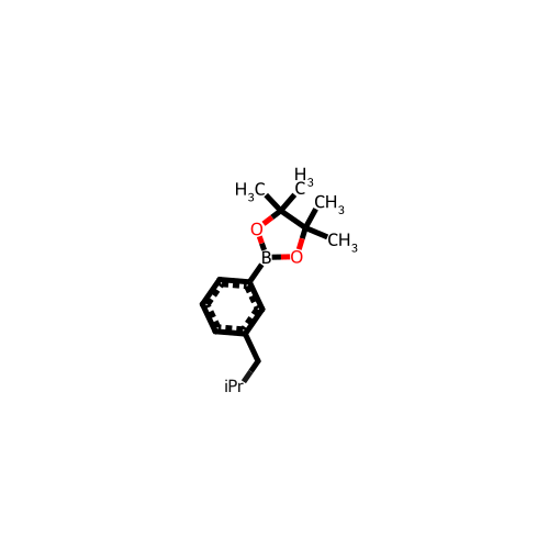 CC(C)Cc1cccc(B2OC(C)(C)C(C)(C)O2)c1